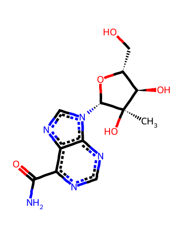 C[C@@]1(O)[C@H](O)[C@@H](CO)O[C@H]1n1cnc2c(C(N)=O)ncnc21